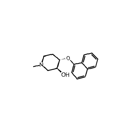 CN1CC[C@H](Oc2cccc3ccccc23)[C@@H](O)C1